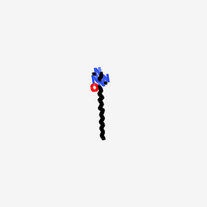 CCCCCCCCCCCCCCCC(=O)n1cnc2cncnc21